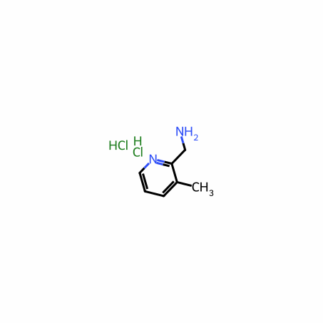 Cc1cccnc1CN.Cl.Cl